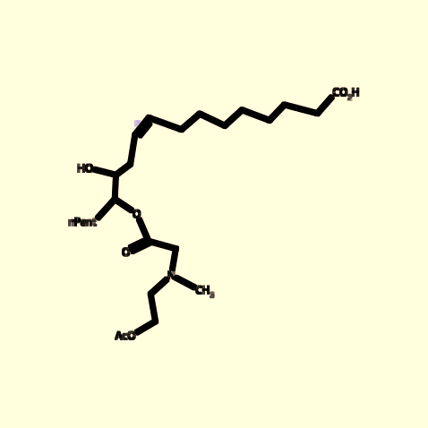 CCCCCC(OC(=O)CN(C)CCOC(C)=O)C(O)C/C=C\CCCCCCCC(=O)O